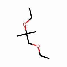 C[CH]OC(C)(C)COCC